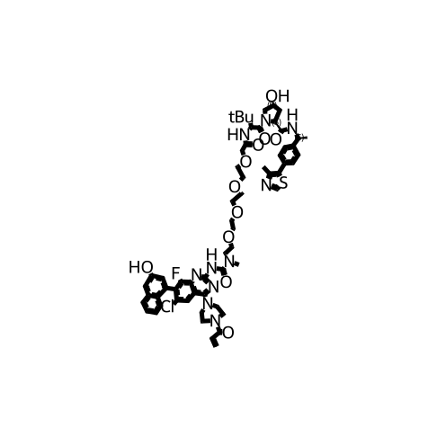 C=CC(=O)N1CCN(c2nc(NC(=O)N(C)CCOCCOCCOCCOCC(=O)NC(C(=O)N3C[C@H](O)C[C@H]3C(=O)N[C@@H](C)c3ccc(-c4scnc4C)cc3)C(C)(C)C)nc3c(F)c(-c4cc(O)cc5ccccc45)c(Cl)cc23)CC1